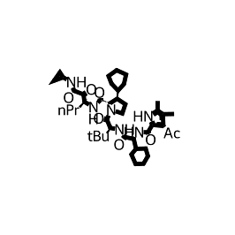 CCC[C@H](NC(=O)[C@@H]1[C@@H](C2CCCCC2)CCN1C(=O)[C@@H](NC(=O)[C@@H](NC(=O)c1[nH]c(C)c(C)c1C(C)=O)C1CCCCC1)C(C)(C)C)C(=O)C(=O)NC1CC1